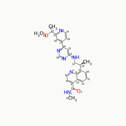 CNC(=O)c1ccnc2c([C@H](C)CNc3cc(-c4ccnc([C@@H](C)OC)c4)ncn3)cccc12